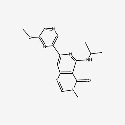 COc1cncc(-c2cc3ncn(C)c(=O)c3c(NC(C)C)n2)n1